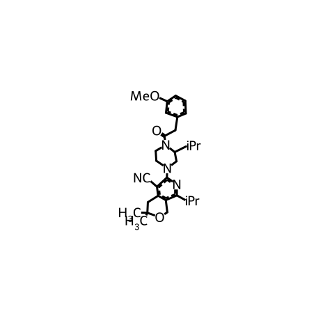 COc1cccc(CC(=O)N2CCN(c3nc(C(C)C)c4c(c3C#N)CC(C)(C)OC4)CC2C(C)C)c1